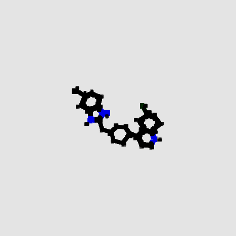 CC(C)c1ccc2[nH]c(CC3CCC(c4ccnc5ccc(F)cc45)CC3)nc2c1